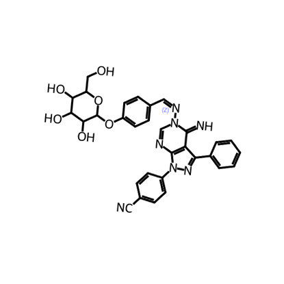 N#Cc1ccc(-n2nc(-c3ccccc3)c3c(=N)n(/N=C\c4ccc(OC5OC(CO)C(O)C(O)C5O)cc4)cnc32)cc1